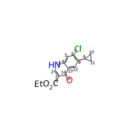 CCOC(=O)c1c[nH]c2cc(Cl)c(C3CC3)cc2c1=O